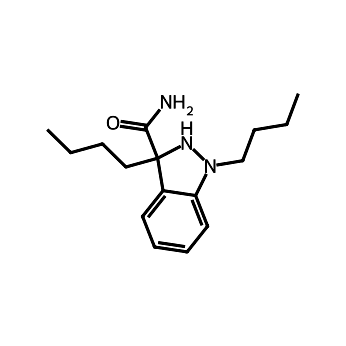 CCCCN1NC(CCCC)(C(N)=O)c2ccccc21